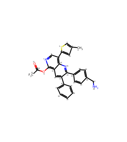 Cc1csc(-c2cnc(OC(=O)C(F)(F)F)c3cc(-c4ccccc4)c(-c4ccc(CN)cc4)nc23)c1